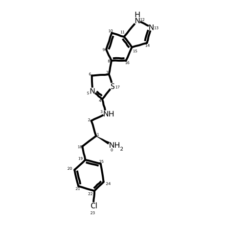 N[C@H](CNC1=NCC(c2ccc3[nH]ncc3c2)S1)Cc1ccc(Cl)cc1